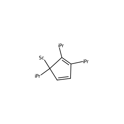 CC(C)C1=C(C(C)C)[C]([Sc])(C(C)C)C=C1